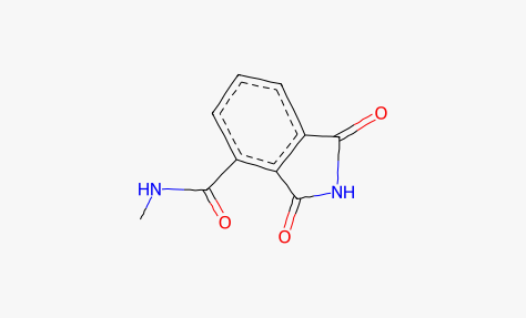 CNC(=O)c1cccc2c1C(=O)NC2=O